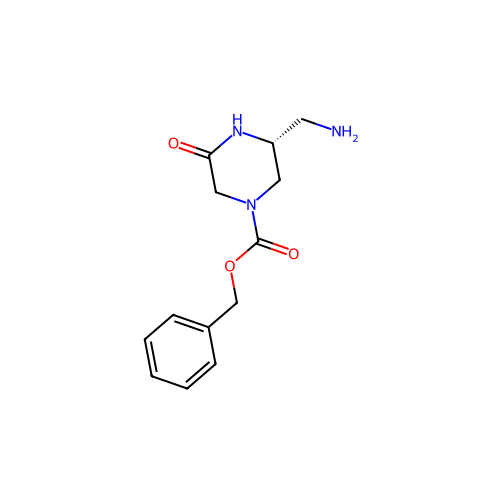 NC[C@@H]1CN(C(=O)OCc2ccccc2)CC(=O)N1